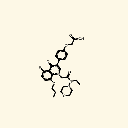 CCCOc1ccc(F)c2c(=O)c(-c3ccc(OCC(=O)O)cc3)cn(CC(=O)N(CC)N3CCOCC3)c12